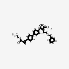 CCOC(=O)C1CC1c1ccc(-c2ccc(-c3onc(C)c3CCOCc3ccccc3)cc2)cc1